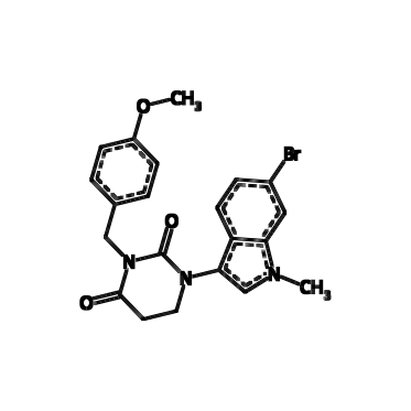 COc1ccc(CN2C(=O)CCN(c3cn(C)c4cc(Br)ccc34)C2=O)cc1